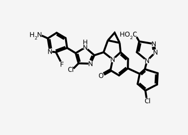 Nc1ccc(-c2[nH]c(C3C4CC4c4cc(-c5cc(Cl)ccc5-n5cc(C(=O)O)nn5)cc(=O)n43)nc2Cl)c(F)n1